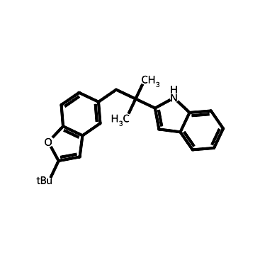 CC(C)(C)c1cc2cc(CC(C)(C)c3cc4ccccc4[nH]3)ccc2o1